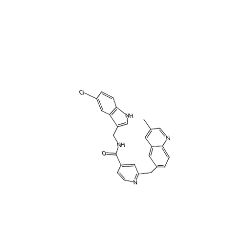 Cc1cnc2ccc(Cc3cc(C(=O)NCc4c[nH]c5ccc(Cl)cc45)ccn3)cc2c1